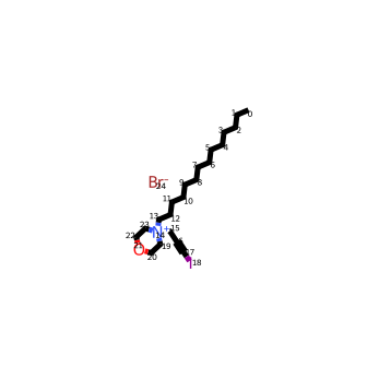 CCCCCCCCCCCCCC[N+]1(CC#CI)CCOCC1.[Br-]